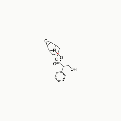 O=C(OC1CC2C3OC3C(C1)N2CCl)C(CO)c1ccccc1